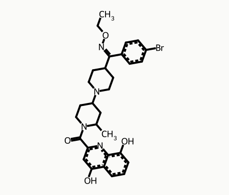 CCON=C(c1ccc(Br)cc1)C1CCN(C2CCN(C(=O)c3cc(O)c4cccc(O)c4n3)C(C)C2)CC1